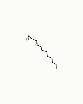 CCCCCCCCOC[C@@H]1CO1